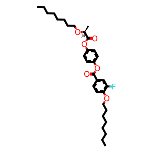 CCCCCCCCOc1ccc(C(=O)Oc2ccc(OC(=O)[C@H](C)OCCCCCCCC)cc2)cc1F